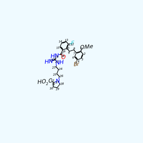 COc1ccc(Br)cc1CCc1c(F)cccc1C(=O)NC(=N)NCCCCN1CCCC1C(=O)O